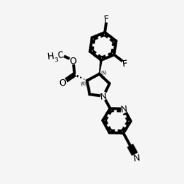 COC(=O)[C@H]1CN(c2ccc(C#N)cn2)C[C@@H]1c1ccc(F)cc1F